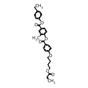 C=CC(=O)OCCCCOc1ccc(C(=O)Oc2ccc(C(=O)Oc3ccc(CC)cc3)cc2C)cc1